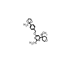 COC1(c2cc(OCc3ccc(C4(C)OCCO4)cc3)nc(SC)n2)CCOCC1